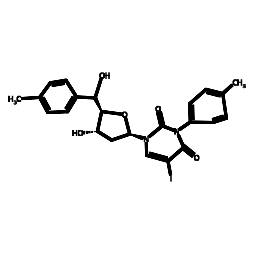 Cc1ccc(C(O)[C@H]2O[C@@H](n3cc(I)c(=O)n(-c4ccc(C)cc4)c3=O)C[C@@H]2O)cc1